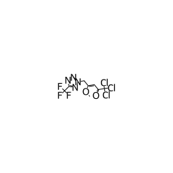 COC(=CC(=O)C(Cl)(Cl)Cl)Cn1nnc(C(F)(F)F)n1